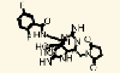 N=C1NC2[C@H](CN3C(=O)CCC3=O)NC(=N)N3CC(NC(=O)c4cc(F)ccc4F)C(O)(O)C23N1